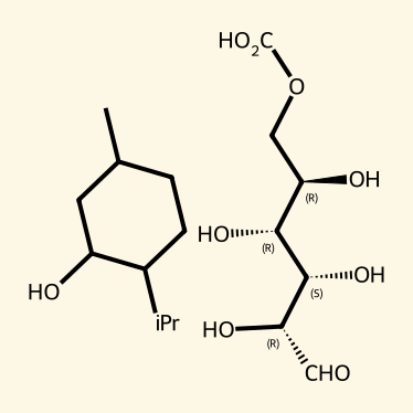 CC1CCC(C(C)C)C(O)C1.O=C[C@H](O)[C@@H](O)[C@H](O)[C@H](O)COC(=O)O